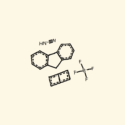 F[B-](F)(F)F.N#[NH+].c1cc2ccc1-2.c1ccc2c(c1)Cc1ccccc1-2